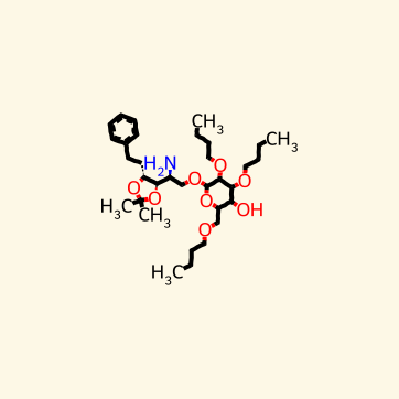 CCCCOCC1OC(OC[C@H](N)[C@@H]2OC(C)(C)O[C@@H]2CCc2ccccc2)C(OCCCC)C(OCCCC)C1O